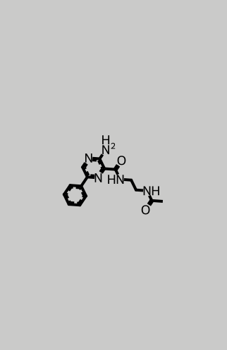 CC(=O)NCCNC(=O)c1nc(-c2ccccc2)cnc1N